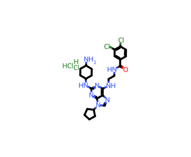 Cl.Cl.NC1CCC(Nc2nc(NCCNC(=O)c3ccc(Cl)c(Cl)c3)c3ncn(C4CCCC4)c3n2)CC1